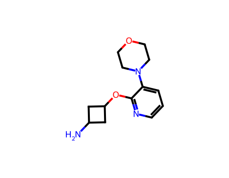 NC1CC(Oc2ncccc2N2CCOCC2)C1